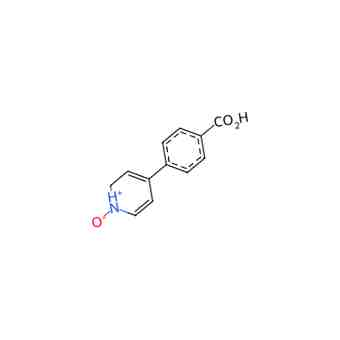 O=C(O)c1ccc(C2=CC[NH+]([O-])C=C2)cc1